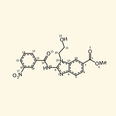 COC(=O)c1ccc2nc(NC(=O)c3cccc([N+](=O)[O-])c3)n(CCO)c2c1